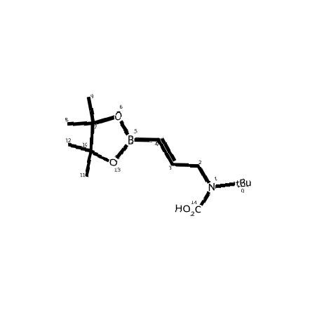 CC(C)(C)N(CC=CB1OC(C)(C)C(C)(C)O1)C(=O)O